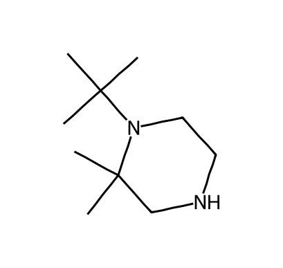 CC(C)(C)N1CCNCC1(C)C